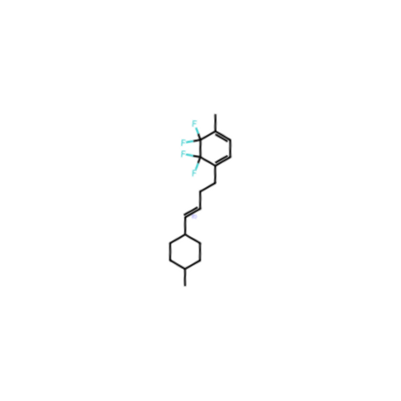 CC1=CC=C(CC/C=C/C2CCC(C)CC2)C(F)(F)C1(F)F